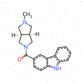 CN1C[C@@H]2CN(C(=O)c3ccc4[nH]c5ccccc5c4c3)C[C@@H]2C1